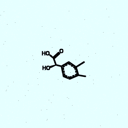 Cc1ccc([C@@H](O)C(=O)O)cc1C